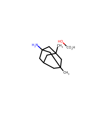 CC12CC3CC(C)(C1)CC(N)(C3)C2.O=C(O)O